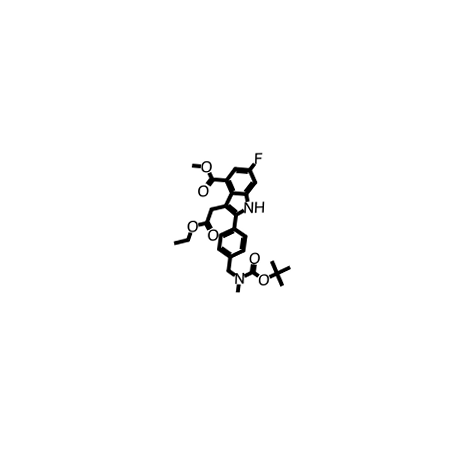 CCOC(=O)Cc1c(-c2ccc(CN(C)C(=O)OC(C)(C)C)cc2)[nH]c2cc(F)cc(C(=O)OC)c12